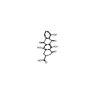 O=C1CC(C(=O)O)Cc2c(O)c3c(c(O)c21)C(=O)c1c(O)cccc1C3=O